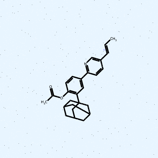 C/C=C/c1ccc(-c2ccc(OC(C)=O)c(C34CC5CC(CC(C5)C3)C4)c2)nc1